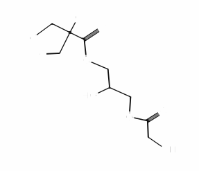 CCC(=O)OCC(O)COC(=O)C(C)(CC)CC